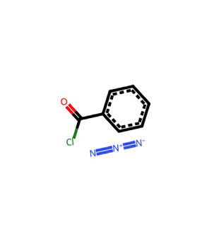 O=C(Cl)c1ccccc1.[N-]=[N+]=[N-]